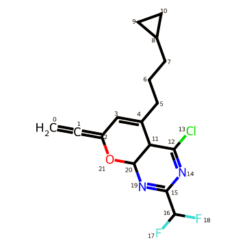 C=C=C1C=C(CCCC2CC2)C2C(Cl)=NC(C(F)F)=NC2O1